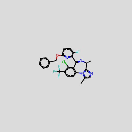 Cc1cnc2n1-c1ccc(C(F)(F)F)c(Cl)c1C(c1nc(OCc3ccccc3)ccc1F)=N[C@H]2C